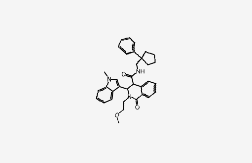 COCCN1C(=O)c2ccccc2C(C(=O)NCC2(c3ccccc3)CCCC2)C1c1cn(C)c2ccccc12